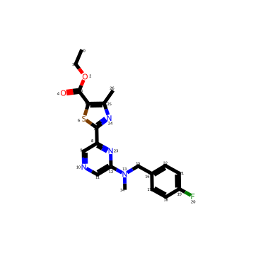 CCOC(=O)c1sc(-c2cncc(N(C)Cc3ccc(F)cc3)n2)nc1C